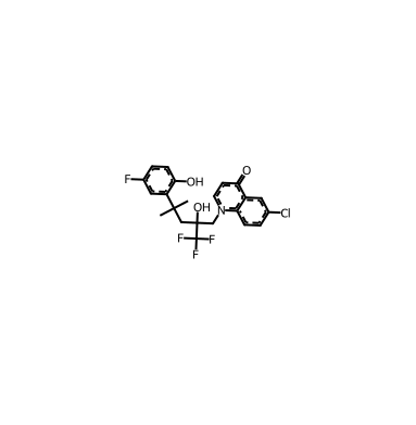 CC(C)(CC(O)(Cn1ccc(=O)c2cc(Cl)ccc21)C(F)(F)F)c1cc(F)ccc1O